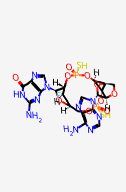 Nc1nc2c(ncn2[C@@H]2O[C@@H]3CO[P@](=O)(S)O[C@]45[C@@H](O[P@](=O)(S)O[C@@H]2[C@@H]3F)[C@]42CO[C@H]5[C@H](n3cnc4c(N)ncnc43)O2)c(=O)[nH]1